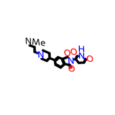 CNCCCN1CCC(c2ccc3c(c2)C(=O)N(C2CCC(=O)NC2=O)C3=O)CC1